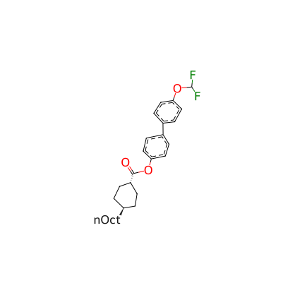 CCCCCCCC[C@H]1CC[C@H](C(=O)Oc2ccc(-c3ccc(OC(F)F)cc3)cc2)CC1